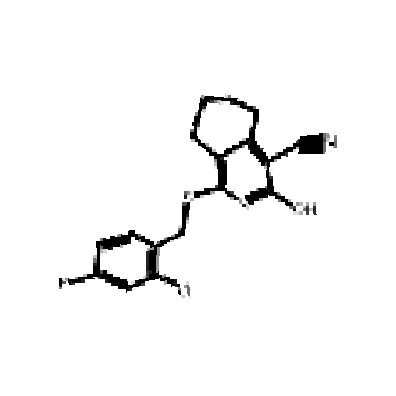 N#Cc1c(O)nc(SCc2ccc(F)cc2Cl)c2c1CCCC2